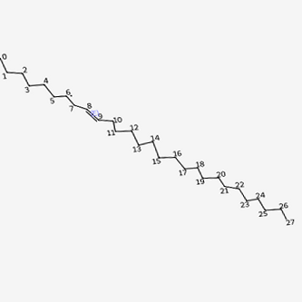 CCCCCC[CH]C/C=C/CCCCCCCCCCCCCCCCCC